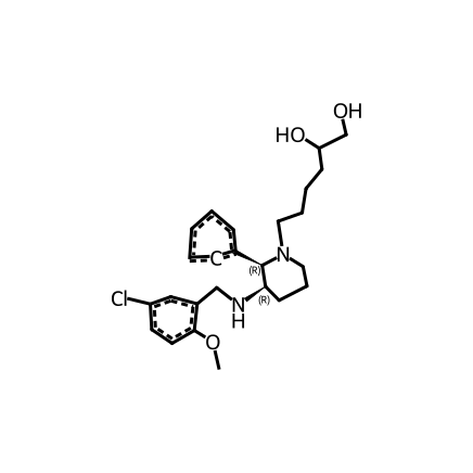 COc1ccc(Cl)cc1CN[C@@H]1CCCN(CCCCC(O)CO)[C@@H]1c1ccccc1